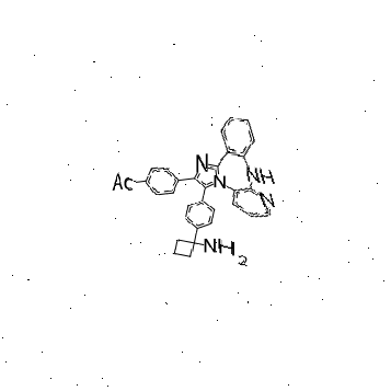 CC(=O)c1ccc(-c2nc3n(c2-c2ccc(C4(N)CCC4)cc2)-c2cccnc2Nc2ccccc2-3)cc1